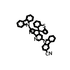 N#Cc1ccc2c(c1)c1ccccc1n2-c1cnc2c(c1)C1(c3ccccc3Sc3ccccc31)c1cc(-n3c4ccccc4c4ccccc43)cnc1-2